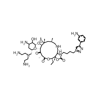 CC[C@H]1OC(=O)[C@H](C)C(=O)[C@H](C)[C@@H](O[C@@H]2O[C@H](CN(CCN)CCN)CC(N)C2O)[C@](C)(OC)C[C@@H](C)CN[C@H](C)[C@H]2N(CCCCn3cc(-c4cccc(N)c4)nn3)C(=O)O[C@]12C